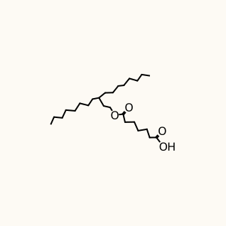 CCCCCCCCC(CCCCCCCC)CCOC(=O)CCCCCC(=O)O